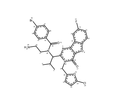 CC(C)C(c1nc2c(oc3ccc(F)cc32)c(=O)n1Cc1ccc(Cl)o1)N(CCN)C(=O)c1ccc(Br)cc1